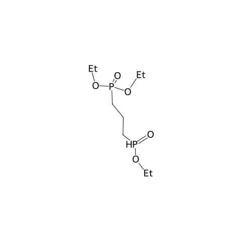 CCO[PH](=O)CCCP(=O)(OCC)OCC